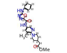 COC(=O)CC1CCN(c2ncc(NC(=O)c3nnc(Nc4ccccc4)o3)cc2C)CC1